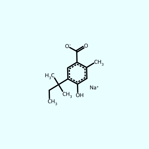 CCC(C)(C)c1cc(C(=O)[O-])c(C)cc1O.[Na+]